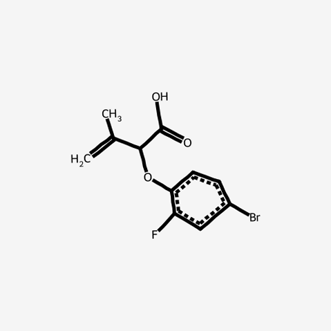 C=C(C)C(Oc1ccc(Br)cc1F)C(=O)O